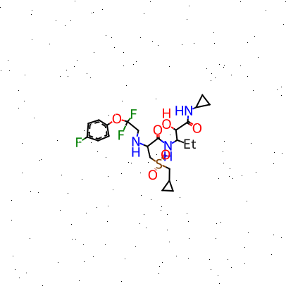 CCC(NC(=O)C(CS(=O)(=O)CC1CC1)NCC(F)(F)Oc1ccc(F)cc1)C(O)C(=O)NC1CC1